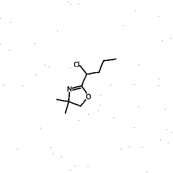 CCCC(Cl)C1=NC(C)(C)CO1